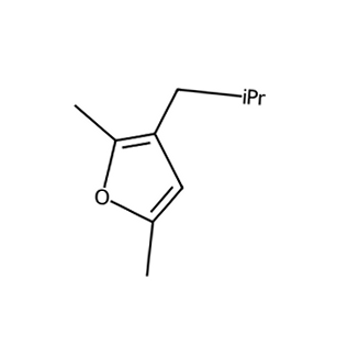 Cc1cc(CC(C)C)c(C)o1